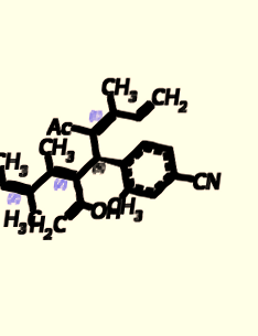 C=C/C(C)=C(/C(C)=O)[C@H](/C(C(=C)O)=C(C)/C(C)=C\C)c1ccc(C#N)cc1C